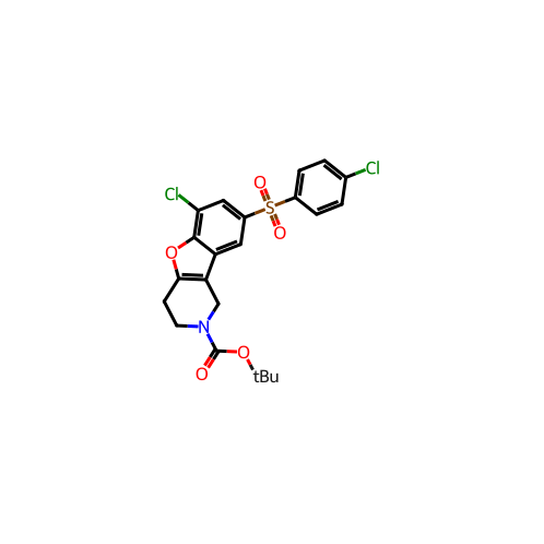 CC(C)(C)OC(=O)N1CCc2oc3c(Cl)cc(S(=O)(=O)c4ccc(Cl)cc4)cc3c2C1